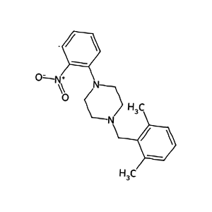 Cc1cccc(C)c1CN1CCN(c2ccc[c]c2[N+](=O)[O-])CC1